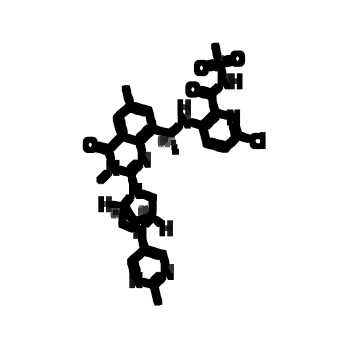 Cc1cc([C@@H](C)Nc2ccc(Cl)nc2C(=O)NS(C)(=O)=O)c2nc(N3C[C@H]4C[C@@H]3CN4c3cnc(C)nc3)n(C)c(=O)c2c1